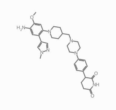 COc1cc(N2CCC(CN3CCN(c4ccc(C5CCC(=O)NC5=O)cc4)CC3)CC2)c(-c2cnn(C)c2)cc1N